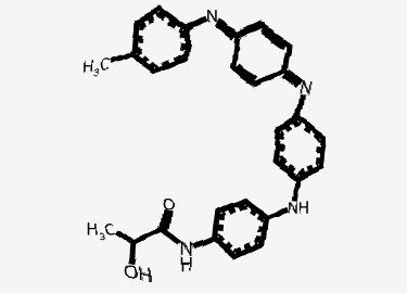 Cc1ccc(N=C2C=CC(=Nc3ccc(Nc4ccc(NC(=O)C(C)O)cc4)cc3)C=C2)cc1